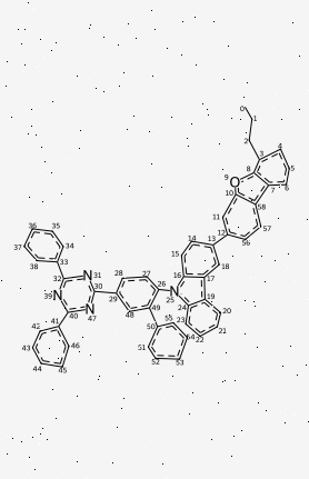 CCCc1cccc2c1oc1cc(-c3ccc4c(c3)c3ccccc3n4-c3ccc(-c4nc(-c5ccccc5)nc(-c5ccccc5)n4)cc3-c3ccccc3)ccc12